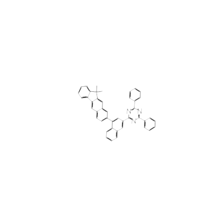 CC1(C)c2ccccc2-c2cc3ccc(-c4cc(-c5nc(-c6ccccc6)nc(-c6ccccc6)n5)cc5ccccc45)cc3cc21